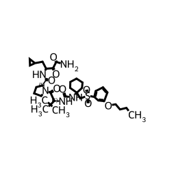 CCCCOc1cccc(S(=O)(=O)CC2(NC(=O)N[C@H](C(=O)N3CCC[C@H]3C(=O)NC(CC3CC3)C(=O)C(N)=O)C(C)(C)C)CCCCC2)c1